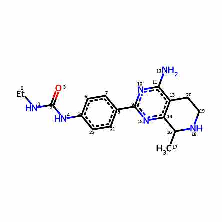 CCNC(=O)Nc1ccc(-c2nc(N)c3c(n2)C(C)NCC3)cc1